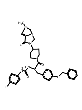 CN1C=C2C(=O)N(C3CCN(C(=O)[C@@H](Cc4ccc(OCc5ccccc5)cc4)NC(=O)Nc4ccc(Cl)cc4)CC3)CN2C1